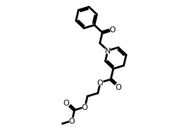 COC(=O)OCCOC(=O)C1=CN(CC(=O)c2ccccc2)C=CC1